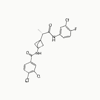 C[C@H](C(=O)Nc1ccc(F)c(Cl)c1)C12CC(NC(=O)c3ccc(Cl)c(Cl)c3)(C1)C2